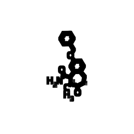 CN1C(=O)[C]Cc2ccc(OCc3ccccc3)cc2C1C(N)=O